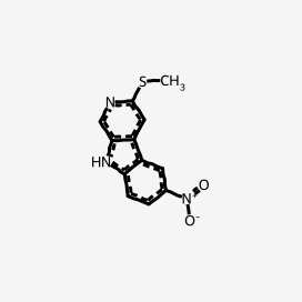 CSc1cc2c(cn1)[nH]c1ccc([N+](=O)[O-])cc12